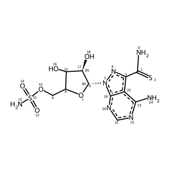 NC(=S)c1nn([C@@H]2OC(COS(N)(=O)=O)C(O)[C@H]2O)c2ncnc(N)c12